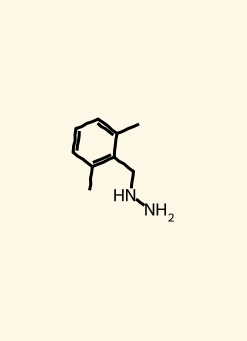 Cc1cccc(C)c1CNN